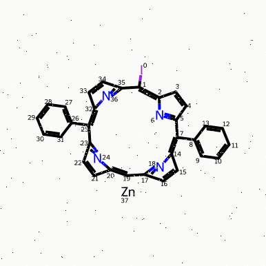 IC1=C2C=CC(=N2)C(c2ccccc2)=C2C=CC(=N2)C=C2C=CC(=N2)C(c2ccccc2)=C2C=CC1=N2.[Zn]